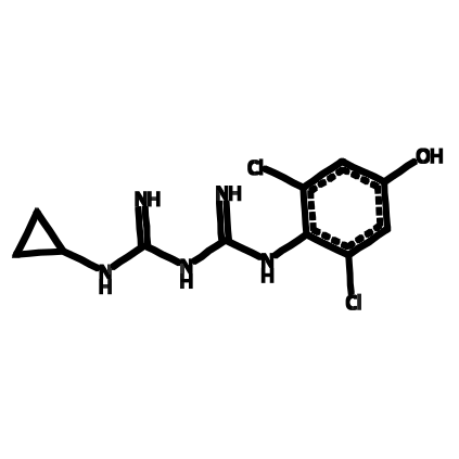 N=C(NC(=N)NC1CC1)Nc1c(Cl)cc(O)cc1Cl